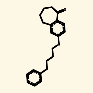 O=C1CCCCc2cc(OCCCCc3ccccc3)ccc21